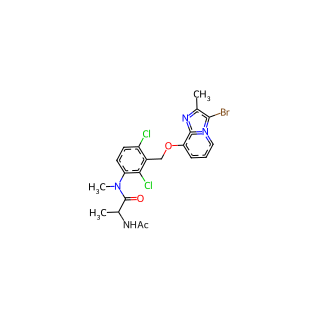 CC(=O)NC(C)C(=O)N(C)c1ccc(Cl)c(COc2cccn3c(Br)c(C)nc23)c1Cl